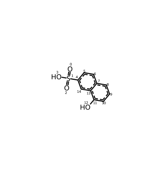 O=S(=O)(O)c1ccc2cc[c]c(O)c2c1